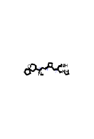 C=N/C(=C\C=C1/CCC1/C=C(\C=N)CNCC)C1CCOC2(CCCC2)C1